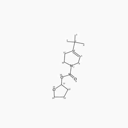 CC(C)(C)C1=CCN(C(=O)OC2CCCO2)CC1